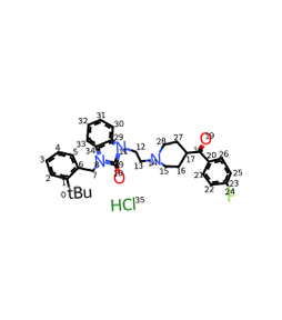 CC(C)(C)c1ccccc1Cn1c(=O)n(CCN2CCC(C(=O)c3ccc(F)cc3)CC2)c2ccccc21.Cl